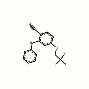 N#Cc1ccc(OCC(F)(F)F)cc1Nc1ccccc1